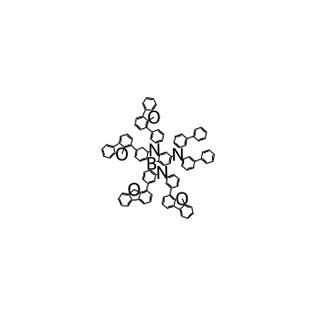 C1=C(c2cccc3c2oc2ccccc23)CC2C(=C1)B1c3ccc(-c4cccc5c4oc4ccccc45)cc3N(c3cccc(-c4cccc5c4oc4ccccc45)c3)c3cc(N(c4cccc(-c5ccccc5)c4)c4cccc(-c5ccccc5)c4)cc(c31)N2c1cccc(-c2cccc3c2oc2ccccc23)c1